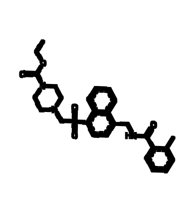 CCOC(=O)N1CCN(CS(=O)(=O)c2ccc(CNC(=O)c3ccccc3C)c3ccccc23)CC1